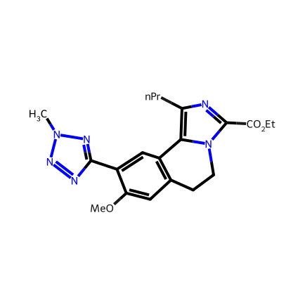 CCCc1nc(C(=O)OCC)n2c1-c1cc(-c3nnn(C)n3)c(OC)cc1CC2